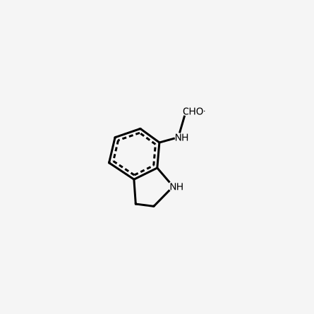 O=[C]Nc1cccc2c1NCC2